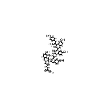 C[C@@H](CN[C@H](CN[C@H](CNCCC(N)=O)Cc1ccc(O)cc1)Cc1ccc(O)cc1)NC[C@H](Cc1ccc(O)cc1)NC[C@H](Cc1ccc(O)cc1)NC[C@@H](N)Cc1ccc(O)cc1